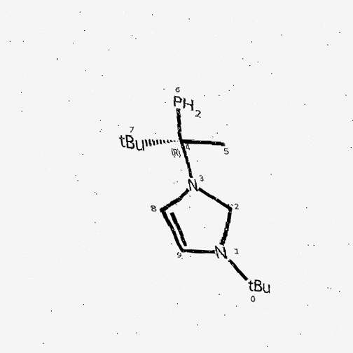 CC(C)(C)N1[C]N([C@](C)(P)C(C)(C)C)C=C1